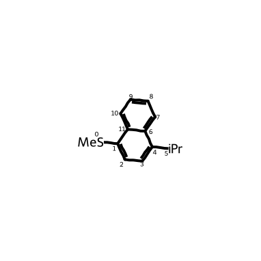 CSc1ccc(C(C)C)c2ccccc12